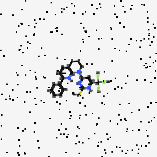 CSc1nc(N2CCCc3ccc(-c4ccccc4)nc32)cc(C(F)(F)F)n1